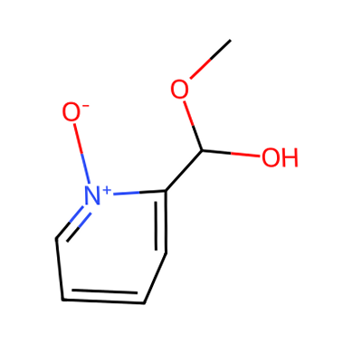 COC(O)c1cccc[n+]1[O-]